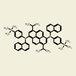 CC(C)c1cc(N(c2ccc([Si](C)(C)C)cc2)c2cccc3ccccc23)c2ccc3c(C(C)C)cc(N(c4ccc([Si](C)(C)C)cc4)c4cccc5ccccc45)c4ccc1c2c34